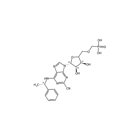 C[C@H](Nc1nc(C#N)nc2c1ncn2[C@@H]1OC(COCP(=O)(O)O)[C@@H](O)[C@H]1O)c1ccccc1